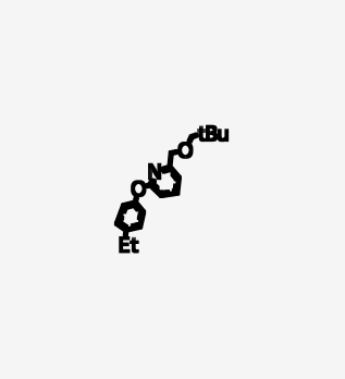 CCc1ccc(Oc2cccc(COCC(C)(C)C)n2)cc1